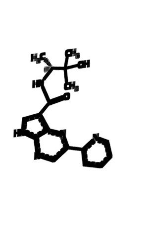 C[C@@H](NC(=O)c1c[nH]c2ncc(-c3ccccn3)nc12)C(C)(C)O